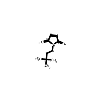 CC(C)(C)CCN1C(=O)C=CC1=O